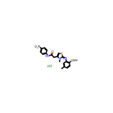 COc1ccc(C)cc1/N=c1/scc(CC(=O)Nc2ccc([N+](=O)[O-])cc2)n1C.Cl